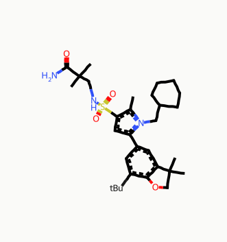 Cc1c(S(=O)(=O)NCC(C)(C)C(N)=O)cc(-c2cc(C(C)(C)C)c3c(c2)C(C)(C)CO3)n1CC1CCCCC1